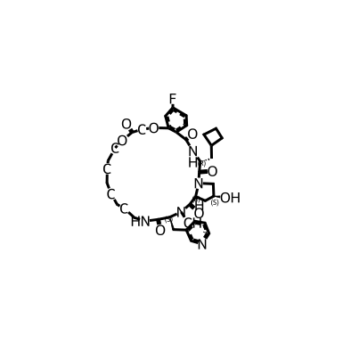 CN1C(=O)[C@H]2C[C@H](O)CN2C(=O)[C@@H](CC2CCC2)NC(=O)c2ccc(F)cc2OCC(=O)OCCCCCCCCNC(=O)[C@@H]1Cc1cccnc1